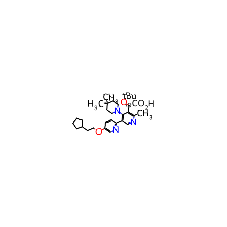 Cc1ncc(-c2ccc(OCCC3CCCC3)cn2)c(N2CCC(C)(C)CC2)c1[C@H](OC(C)(C)C)C(=O)O